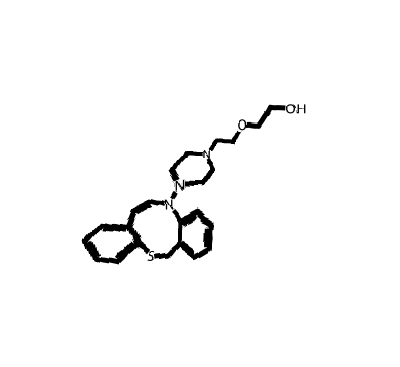 OCCOCCN1CCN(N2C=Cc3ccccc3SCc3ccccc32)CC1